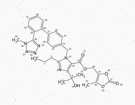 CCCc1nc(C(C)(C)O)c(C(=O)OCc2oc(=O)oc2C)n1Cc1ccc(-c2ccccc2-c2nnnn2C)cc1